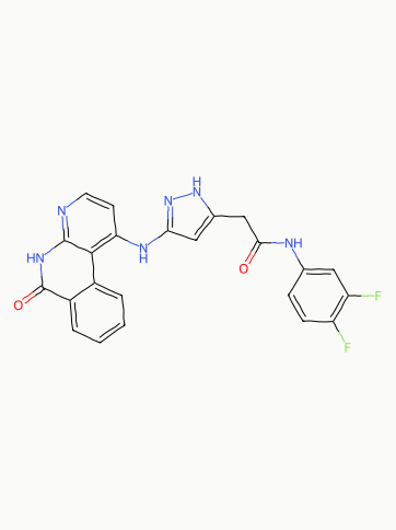 O=C(Cc1cc(Nc2ccnc3[nH]c(=O)c4ccccc4c23)n[nH]1)Nc1ccc(F)c(F)c1